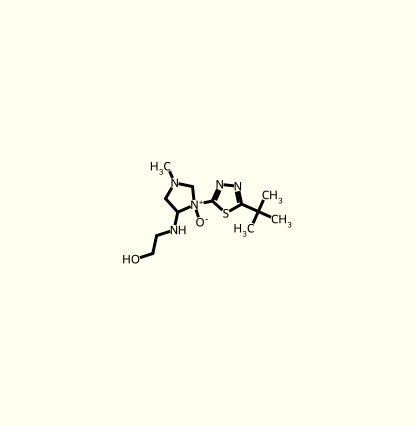 CN1CC(NCCO)[N+]([O-])(c2nnc(C(C)(C)C)s2)C1